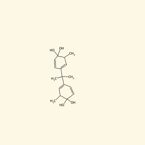 CC1C=C(C(C)(C)C2=CC(C)C(O)(O)C=C2)C=CC1(O)O